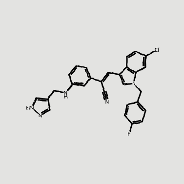 N#CC(=Cc1cn(Cc2ccc(F)cc2)c2cc(Cl)ccc12)c1cccc(NCc2cn[nH]c2)c1